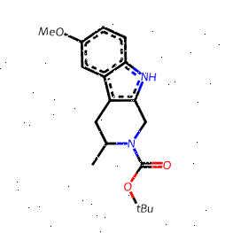 COc1ccc2[nH]c3c(c2c1)CC(C)N(C(=O)OC(C)(C)C)C3